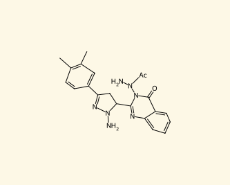 CC(=O)N(N)n1c(C2CC(c3ccc(C)c(C)c3)=NN2N)nc2ccccc2c1=O